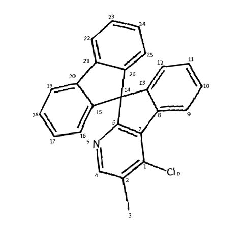 Clc1c(I)cnc2c1-c1ccccc1C21c2ccccc2-c2ccccc21